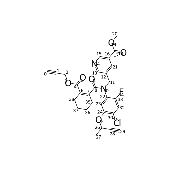 C#CCOC(=O)C1=C(C(=O)N(Cc2cncc(C(=O)OC)c2)c2cc(OC(C)C#C)c(Cl)cc2F)CCCC1